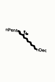 CCCCCC=CC(CCCCCCCCCCCCCCCCC)N(C)C